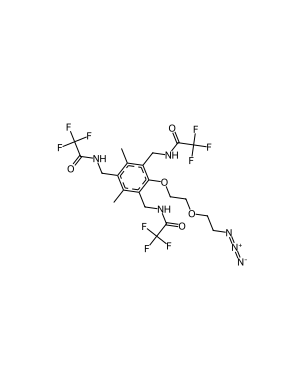 Cc1c(CNC(=O)C(F)(F)F)c(C)c(CNC(=O)C(F)(F)F)c(OCCOCCN=[N+]=[N-])c1CNC(=O)C(F)(F)F